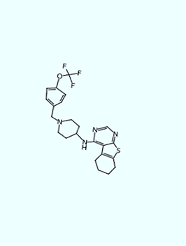 FC(F)(F)Oc1ccc(CN2CCC(Nc3ncnc4sc5c(c34)CCCC5)CC2)cc1